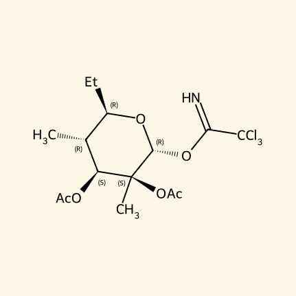 CC[C@H]1O[C@H](OC(=N)C(Cl)(Cl)Cl)[C@@](C)(OC(C)=O)[C@@H](OC(C)=O)[C@@H]1C